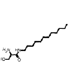 CCCCCCCCCCCCNC(=O)C(N)CO